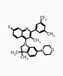 Cc1cc(-c2nc3cc(F)ccc3c(N3CC(C)(C)c4ccc(N5CCOCC5)cc43)c2C)cc(C(F)(F)F)c1